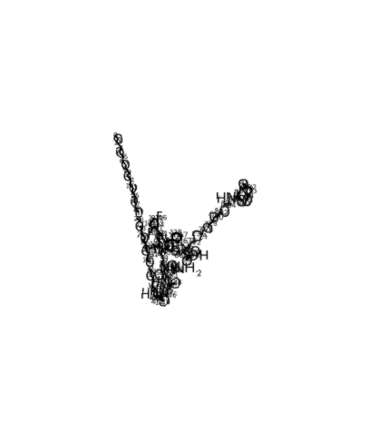 COCCOCCOCCOCCOCCOCCOCCOCCOCCOCCOCCOCCC(=O)N[C@@H](C)C(=O)N[C@@H](C)C(=O)N[C@@H](CC(N)=O)C(=O)NCCCN(C(=O)CSC[C@H](NC(=O)CCOCCOCCOCCOCCNC(=O)CN1C(=O)C=CC1=O)C(=O)O)[C@@H](c1cc(-c2cc(F)ccc2F)cn1Cc1ccccc1)C(C)(C)C